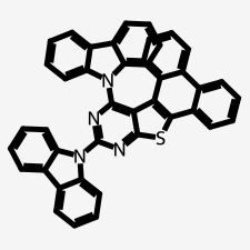 c1ccc2c(c1)c1ccccc1c1c2sc2nc(-n3c4ccccc4c4ccccc43)nc(-n3c4ccccc4c4ccccc43)c21